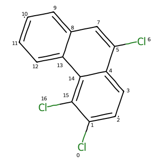 Clc1[c]cc2c(Cl)cc3c[c]ccc3c2c1Cl